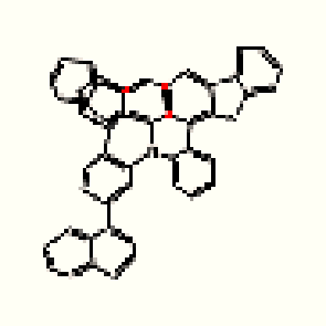 c1ccc(-c2ccc(-c3cccc4ccccc34)cc2N(c2ccccc2-c2cccc3c2sc2ccccc23)c2cccc3c2oc2ccccc23)cc1